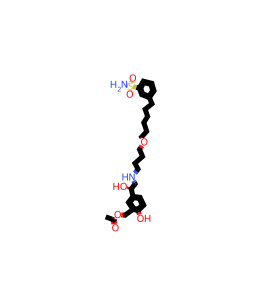 CC(=O)OCc1cc([C@@H](O)CNCCCCOCCCCCCc2cccc(S(N)(=O)=O)c2)ccc1O